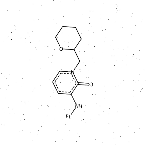 CCNc1cccn(CC2CCCCO2)c1=O